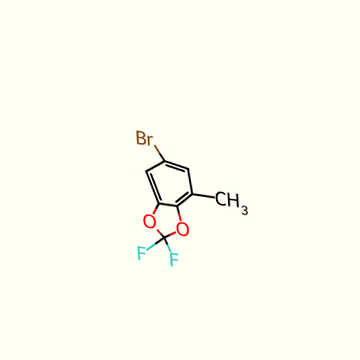 Cc1cc(Br)cc2c1OC(F)(F)O2